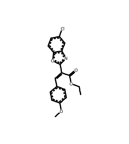 CCOC(=O)C(=Cc1ccc(OC)cc1)c1nc2cc(Cl)ccc2o1